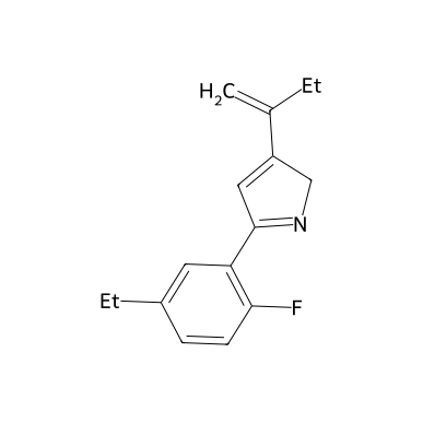 C=C(CC)C1=CC(c2cc(CC)ccc2F)=NC1